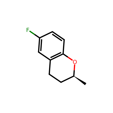 C[C@H]1CCc2cc(F)ccc2O1